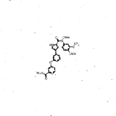 CNC(=O)c1cc(Oc2cccc(-c3c[nH]c(C(=O)N(OC)c4ccc(OC)c(OC(F)(F)F)c4)c3)c2)ccn1